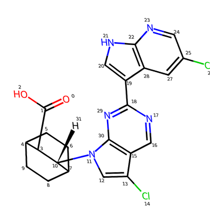 O=C(O)C1C2CCC(CC2)[C@H]1n1cc(Cl)c2cnc(-c3c[nH]c4ncc(Cl)cc34)nc21